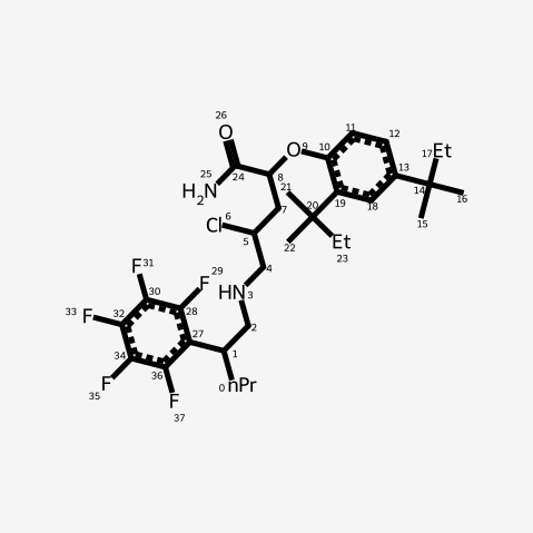 CCCC(CNCC(Cl)CC(Oc1ccc(C(C)(C)CC)cc1C(C)(C)CC)C(N)=O)c1c(F)c(F)c(F)c(F)c1F